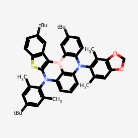 Cc1cc(C(C)(C)C)cc(C)c1N1c2cccc3c2B(c2cc(C(C)(C)C)ccc2N3c2c(C)cc3c(c2C)OCO3)c2c1sc1ccc(C(C)(C)C)cc21